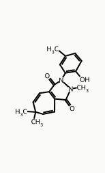 Cc1ccc(O)c(-n2c(=O)c3c(c(=O)n2C)C=CC(C)(C)C=C3)c1